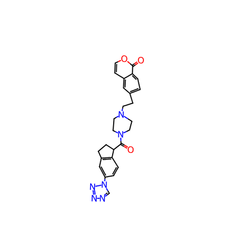 O=C(C1CCc2cc(-n3cnnn3)ccc21)N1CCN(CCc2ccc3c(=O)occc3c2)CC1